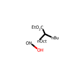 CCCCCCCCC(CCCC)C(=O)OCC.O=NO